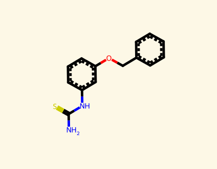 NC(=S)Nc1cccc(OCc2ccccc2)c1